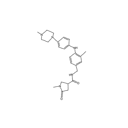 Cc1cc(CNC(=O)C2CC(=O)N(C)C2)ccc1Nc1ccc(N2CCN(C)CC2)cc1